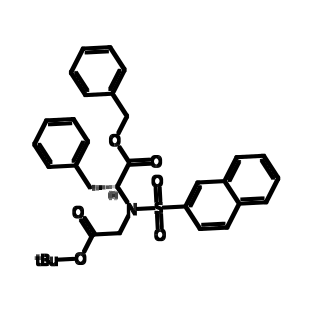 CC(C)(C)OC(=O)CN([C@H](Cc1ccccc1)C(=O)OCc1ccccc1)S(=O)(=O)c1ccc2ccccc2c1